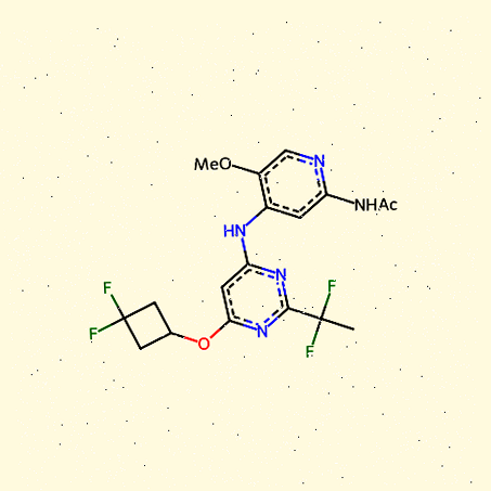 COc1cnc(NC(C)=O)cc1Nc1cc(OC2CC(F)(F)C2)nc(C(C)(F)F)n1